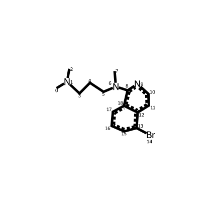 CN(C)CCCN(C)c1nccc2c(Br)cccc12